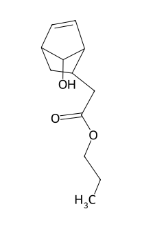 CCCOC(=O)CC1CC2C=CC1C2O